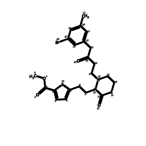 COC(=O)c1ccc(CCN2C(=O)SCCN2CCC(=O)Cc2cc(C)cc(Br)c2)s1